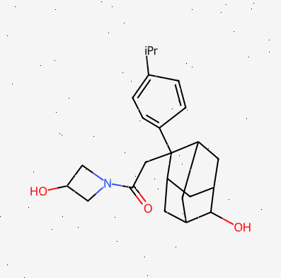 CC(C)c1ccc(C2(CC(=O)N3CC(O)C3)C3CC4CC2CC(C3)C4O)cc1